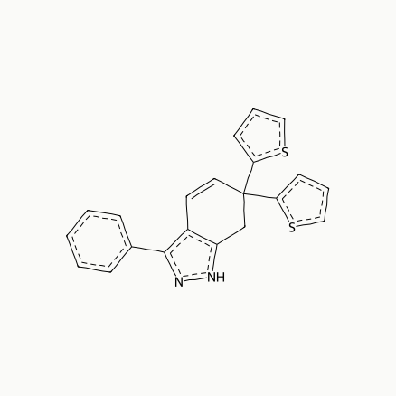 C1=CC(c2cccs2)(c2cccs2)Cc2[nH]nc(-c3ccccc3)c21